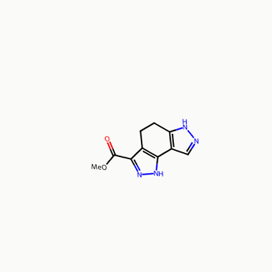 COC(=O)c1n[nH]c2c1CCc1[nH]ncc1-2